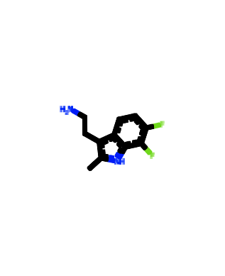 Cc1[nH]c2c(F)c(F)ccc2c1CCN